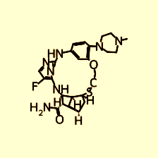 CN1CCN(c2ccc3cc2OCCS[C@@H]2C[C@@H]4C[C@H]2[C@@H](Nc2nc(ncc2F)N3)[C@H]4C(N)=O)CC1